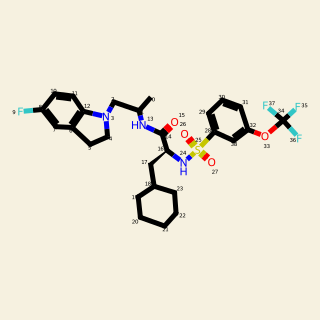 CC(CN1CCc2cc(F)ccc21)NC(=O)[C@H](CC1CCCCC1)NS(=O)(=O)c1cccc(OC(F)(F)F)c1